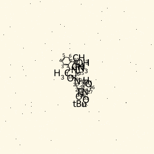 C[C@@H](c1ccccc1C(C)(C)O)n1cncc1C(=O)N1CC[C@@H]2[C@@H](C1)OCCN2C(=O)OC(C)(C)C